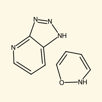 C1=CNOC=C1.c1cnc2nn[nH]c2c1